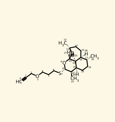 C#CCOCCCS[C@@H]1O[C@@H]2O[C@]3(C)CC[C@H]4[C@H](C)CC[C@@H]([C@H]1C)[C@@]24OO3